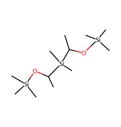 CC(O[Si](C)(C)C)[Si](C)(C)C(C)O[Si](C)(C)C